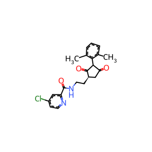 Cc1cccc(C)c1C1C(=O)C[C@@H](CCNC(=O)c2cc(Cl)ccn2)C1=O